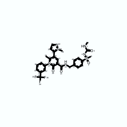 CNC(=O)N=S(C)(=O)c1ccc(CNC(=O)c2cc(-c3ccnn3C)c(C)n(-c3cccc(C(F)(F)F)c3)c2=O)cc1